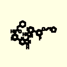 O=C(CC1CCCCC1)Nc1cncc(-c2ccc3[nH]nc(-c4nc5c(-c6cc(F)cc(OCCN7CCCC7)c6)ccnc5[nH]4)c3n2)c1